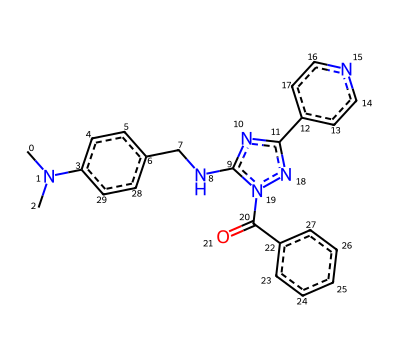 CN(C)c1ccc(CNc2nc(-c3ccncc3)nn2C(=O)c2ccccc2)cc1